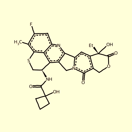 CC[C@@]1(O)C(=O)OCc2c1cc1n(c2=O)Cc2c-1nc1cc(F)c(C)c3c1c2[C@@H](NC(=O)C1(O)CCC1)CS3